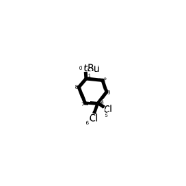 CC(C)(C)C1CCC(Cl)(Cl)CC1